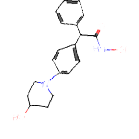 O=C(NO)C(c1ccccc1)c1ccc(N2CCC(O)CC2)cc1